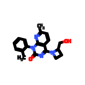 Cc1ccccc1-n1c(=O)nc(N2CCC2CO)c2ccc(C(F)(F)F)nc21